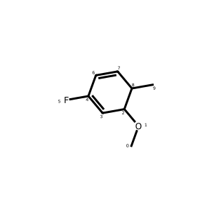 COC1C=C(F)C=CC1C